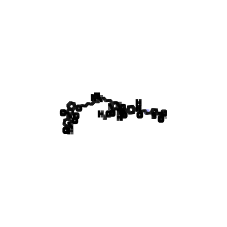 COc1nc(CCCn2cc(CCCCOc3cccc4c3C(=O)N(C3CCC(=O)NC3=O)C4=O)nn2)cnc1NS(=O)(=O)c1ccc(NC(=O)/C=C/c2ccc([N+](=O)[O-])s2)cc1